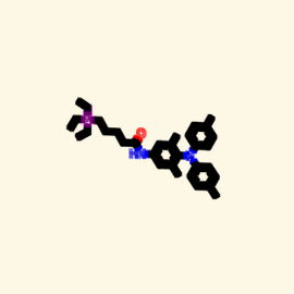 CC[PH](CC)(CC)CCCCC(=O)Nc1cc(C)c(N(c2ccc(C)cc2)c2ccc(C)cc2)c(C)c1